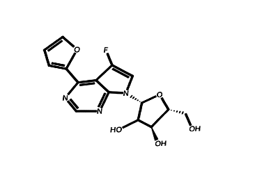 OC[C@H]1O[C@@H](n2cc(F)c3c(-c4ccco4)ncnc32)C(O)[C@@H]1O